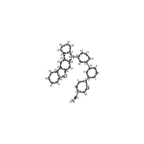 N#Cc1ccc(-c2cccc(-c3cccc(-n4c5ccccc5c5cc6c(cc54)oc4ccccc46)c3)c2)nc1